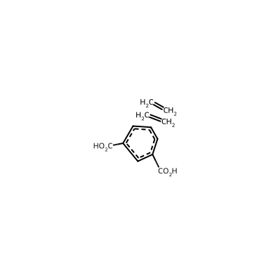 C=C.C=C.O=C(O)c1cccc(C(=O)O)c1